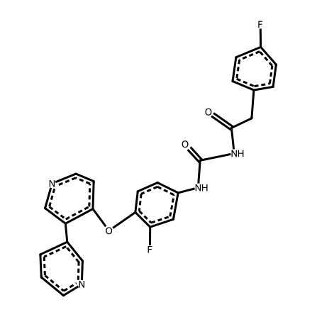 O=C(Cc1ccc(F)cc1)NC(=O)Nc1ccc(Oc2ccncc2-c2cccnc2)c(F)c1